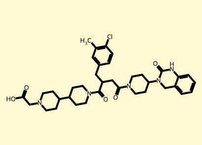 Cc1cc(CC(CC(=O)N2CCC(N3Cc4ccccc4NC3=O)CC2)C(=O)N2CCC(C3CCN(CC(=O)O)CC3)CC2)ccc1Cl